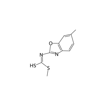 CS/C(S)=N\c1nc2ccc(C)cc2o1